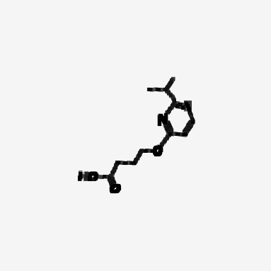 CC(C)c1nccc(OCCCC(=O)O)n1